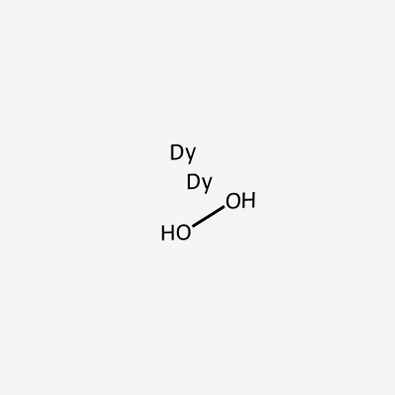 OO.[Dy].[Dy]